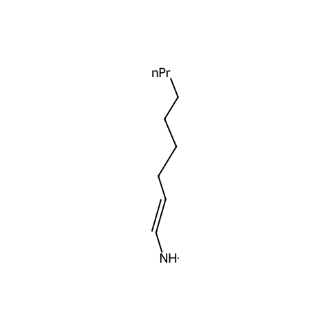 CCCCCCCC=C[NH]